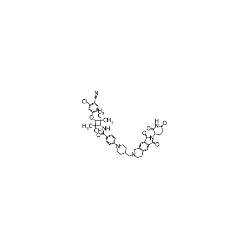 CC1(C)[C@H](NC(=O)c2ccc(N3CCC(CN4CCc5cc6c(cc5C4)C(=O)N(C4CCC(=O)NC4=O)C6=O)CC3)cc2)C(C)(C)[C@H]1Oc1ccc(C#N)c(Cl)c1